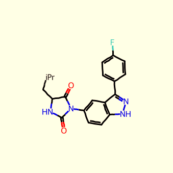 CC(C)CC1NC(=O)N(c2ccc3[nH]nc(-c4ccc(F)cc4)c3c2)C1=O